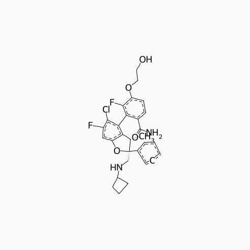 C[C@H]1c2c(cc(F)c(Cl)c2-c2c(C(N)=O)ccc(OCCO)c2F)O[C@]1(CNC1CCC1)c1ccccc1